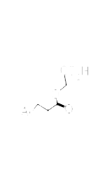 CC(=O)CCC(=O)OCC(=O)O